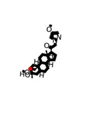 COCC[C@]12CC[C@@](C)(O)C[C@@H]1CC[C@H]1[C@@H]3CC[C@H](C(=O)Cn4cc(OC)cn4)[C@@]3(C)CC[C@@H]12